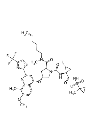 C=CCCCCN(C)C(=O)[C@@H]1C[C@H](Oc2cc(-c3nc(C(F)(F)F)cs3)nc3c(C)c(OC)ccc23)CN1C(=O)N[C@]1(C(=O)NS(=O)(=O)C2(C)CC2)C[C@H]1I